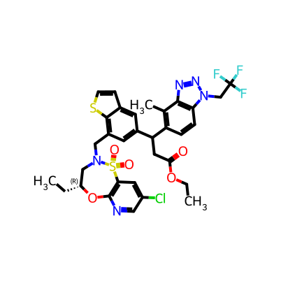 CCOC(=O)CC(c1cc(CN2C[C@@H](CC)Oc3ncc(Cl)cc3S2(=O)=O)c2sccc2c1)c1ccc2c(nnn2CC(F)(F)F)c1C